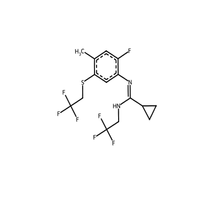 Cc1cc(F)c(/N=C(\NCC(F)(F)F)C2CC2)cc1SCC(F)(F)F